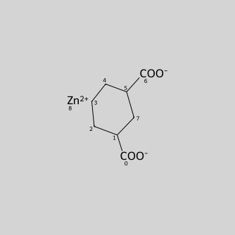 O=C([O-])C1CCCC(C(=O)[O-])C1.[Zn+2]